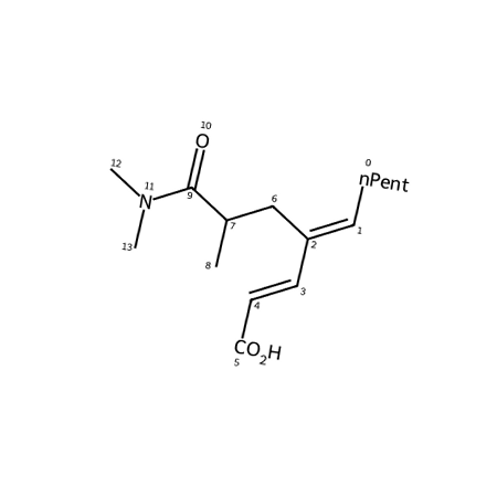 CCCCC/C=C(/C=C/C(=O)O)CC(C)C(=O)N(C)C